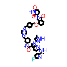 Cc1cc(-n2cc(C(=O)N(C)C3CCCC(CN4CCN(Cc5ccc(COc6cccc7c6CN([C@@H]6CCC(=O)NC6=O)C7=O)cc5)CC4)C3)c3ccc(N[C@@H](C)c4ccc(F)cn4)nc32)n[nH]1